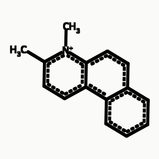 Cc1ccc2c3ccccc3ccc2[n+]1C